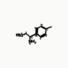 Cc1ccc(C(N)CC(C)(C)C)cc1